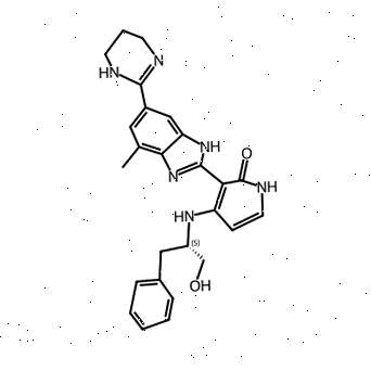 Cc1cc(C2=NCCCN2)cc2[nH]c(-c3c(N[C@H](CO)Cc4ccccc4)cc[nH]c3=O)nc12